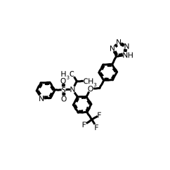 CC(C)N(c1ccc(C(F)(F)F)cc1OCc1ccc(-c2nnn[nH]2)cc1)S(=O)(=O)c1cccnc1